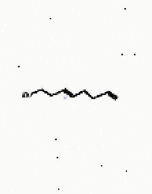 C=CCC/C=C/CCC(C)CC